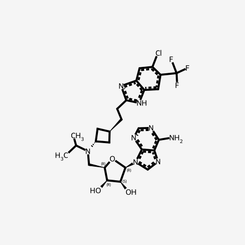 CC(C)N(C[C@H]1O[C@@H](n2cnc3c(N)ncnc32)[C@@H](O)[C@H]1O)[C@H]1C[C@H](CCc2nc3cc(Cl)c(C(F)(F)F)cc3[nH]2)C1